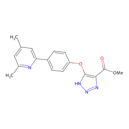 COC(=O)c1nn[nH]c1Oc1ccc(-c2cc(C)cc(C)n2)cc1